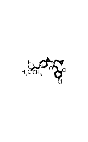 CC(C)(C)CCN1CCC2(CC1)CC2N(CC1CC1)C(=O)Cc1ccc(Cl)cc1Cl